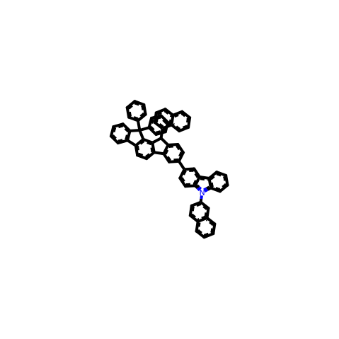 c1ccc(C2(c3ccccc3)c3ccccc3-c3ccc4c(c32)C(c2cccc3ccccc23)c2ccc(-c3ccc5c(c3)c3ccccc3n5-c3ccc5ccccc5c3)cc2-4)cc1